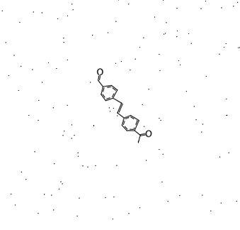 CC(=O)c1ccc(/C=C/c2ccc(C=O)cc2)cc1